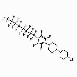 CC[C@H]1CC[C@H]([C@H]2CC[C@H](c3c(F)c(F)c(C(F)(F)C(F)(F)C(F)(F)C(F)(F)C(F)(F)C(F)(F)C(F)(F)C(F)(F)F)c(F)c3F)CC2)CC1